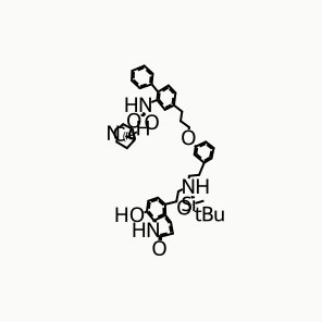 CC(C)(C)[Si](C)(C)OC(CNCCc1cccc(OCCCc2ccc(-c3ccccc3)c(NC(=O)O[C@H]3CN4CCC3CC4)c2)c1)c1ccc(O)c2[nH]c(=O)ccc12